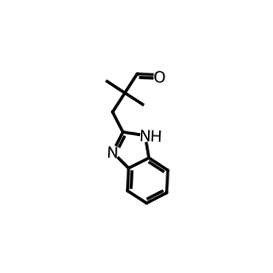 CC(C)(C=O)Cc1nc2ccccc2[nH]1